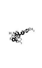 COc1ccc(F)c(Cl)c1[C@@H](C)Oc1c(N)ncc2c(-c3ccc(N4CCN(C)CC4)nc3)coc12